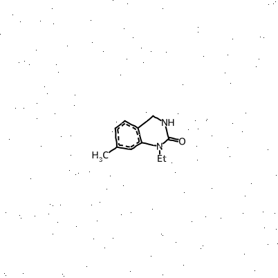 CCN1C(=O)NCc2ccc(C)cc21